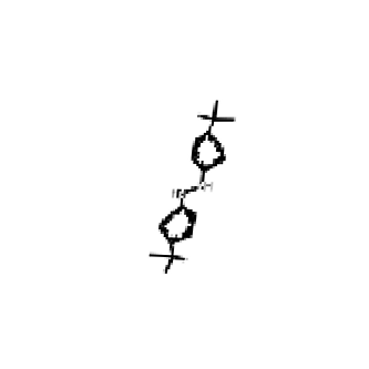 CC(C)(C)c1ccc(NNc2ccc(C(C)(C)C)cc2)cc1